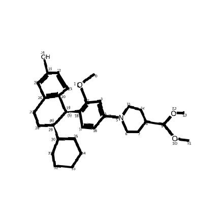 COc1cc(N2CCC(C(OC)OC)CC2)ccc1[C@@H]1c2ccc(O)cc2CC[C@@H]1C1CCCCC1